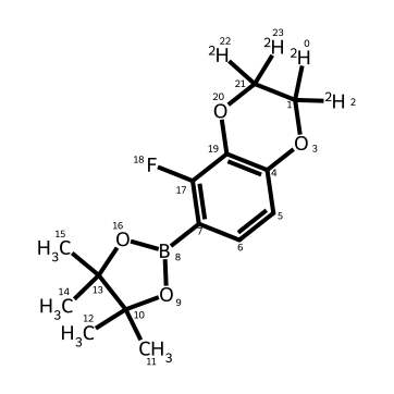 [2H]C1([2H])Oc2ccc(B3OC(C)(C)C(C)(C)O3)c(F)c2OC1([2H])[2H]